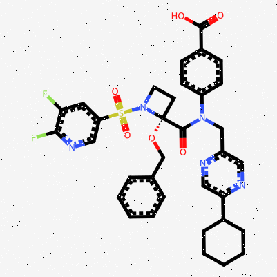 O=C(O)c1ccc(N(Cc2cnc(C3CCCCC3)cn2)C(=O)[C@]2(OCc3ccccc3)CCN2S(=O)(=O)c2cnc(F)c(F)c2)cc1